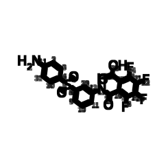 Nc1ccc(S(=O)(=O)c2cccc(NC(=O)c3c(F)c(F)c(F)c(F)c3C(=O)O)c2)cc1